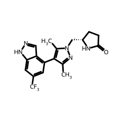 Cc1nn(C[C@@H]2CCC(=O)N2)c(C)c1-c1cc(C(F)(F)F)cc2[nH]ncc12